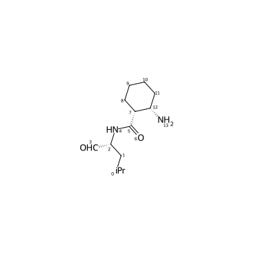 CC(C)C[C@H](C=O)NC(=O)[C@@H]1CCCC[C@@H]1N